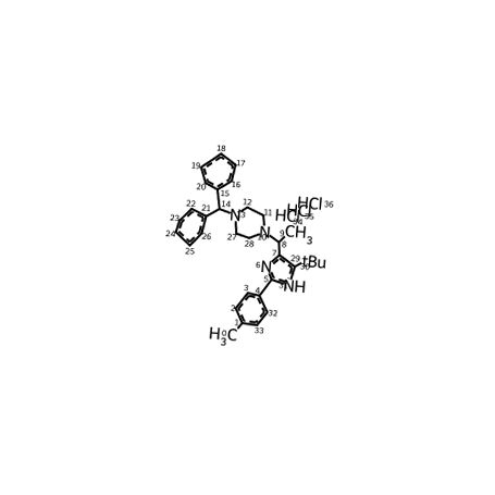 Cc1ccc(-c2nc(C(C)N3CCN(C(c4ccccc4)c4ccccc4)CC3)c(C(C)(C)C)[nH]2)cc1.Cl.Cl.Cl